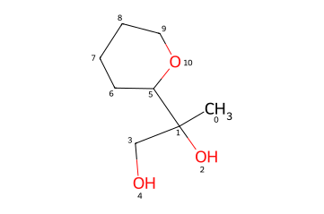 CC(O)(CO)C1CCCCO1